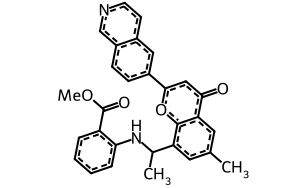 COC(=O)c1ccccc1NC(C)c1cc(C)cc2c(=O)cc(-c3ccc4cnccc4c3)oc12